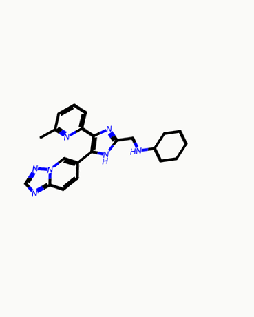 Cc1cccc(-c2nc(CNC3CCCCC3)[nH]c2-c2ccc3ncnn3c2)n1